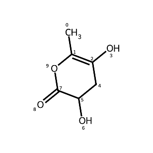 CC1=C(O)CC(O)C(=O)O1